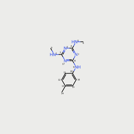 CNc1nc(NC)nc(Nc2ccc(C)cc2)n1